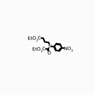 CCOC(=O)CCCN(C(=O)C(=O)OCC)c1ccc([N+](=O)[O-])cc1